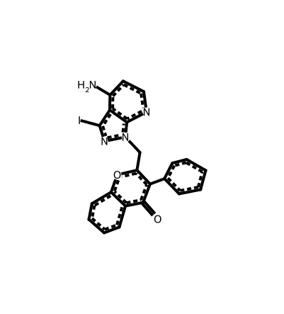 Nc1ccnc2c1c(I)nn2Cc1oc2ccccc2c(=O)c1-c1ccccc1